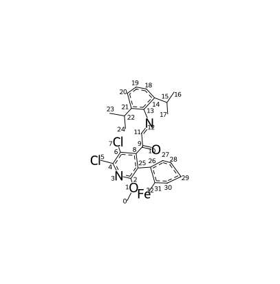 COc1nc(Cl)c(Cl)c(C(=O)C=Nc2c(C(C)C)cccc2C(C)C)c1-c1cccc[c]1[Fe]